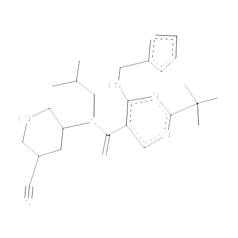 CC(C)CN(C(=O)c1cnc(C(C)(C)C)nc1NCc1ccco1)C1CNCC(C#N)C1